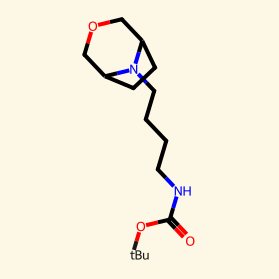 CC(C)(C)OC(=O)NCCCCN1C2CCC1COC2